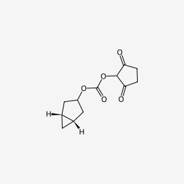 O=C(OC1C[C@@H]2C[C@@H]2C1)OC1C(=O)CCC1=O